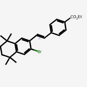 CCOC(=O)c1ccc(/C=C/c2cc3c(cc2Br)C(C)(C)CCC3(C)C)cc1